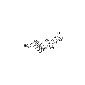 C=CC(=O)O.C=CC(=O)O.C=CC(=O)O.C=CC(=O)O.C=CC(=O)O.O=C(O)C=CC(=O)O.OCC(CO)(CO)COCC(CO)(CO)CO